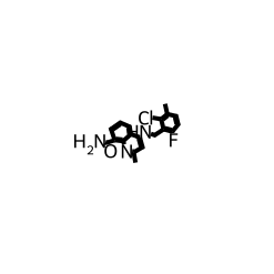 Cc1cc(NCc2c(F)ccc(C)c2Cl)c2cccc(C(N)=O)c2n1